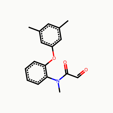 Cc1cc(C)cc(Oc2ccccc2N(C)C(=O)C=O)c1